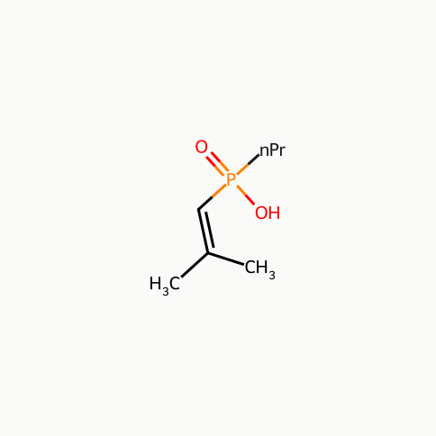 CCCP(=O)(O)C=C(C)C